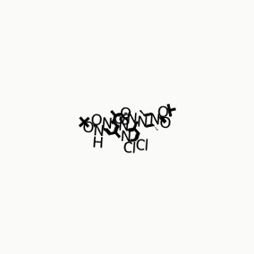 Cc1cc(NC(=O)OC(C)(C)C)nc(C(C)C)c1N1c2nc(Cl)c(Cl)cc2C(N2C[C@@H](C)N(C(=O)OC(C)(C)C)C[C@@H]2C)=NS1(=O)=O